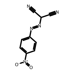 N#CC(C#N)N=Nc1ccc([N+](=O)[O-])cc1